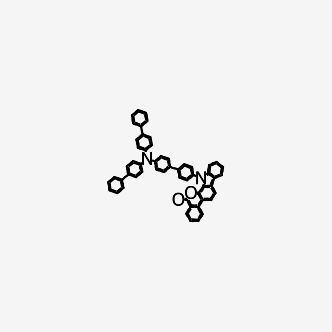 O=c1oc2c(ccc3c4ccccc4n(-c4ccc(-c5ccc(N(c6ccc(-c7ccccc7)cc6)c6ccc(-c7ccccc7)cc6)cc5)cc4)c32)c2ccccc12